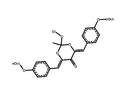 CCCCCCCCOc1ccc(/C=C2\OC(C)(OCC)O/C(=C\c3ccc(OCCCCCCCC)cc3)C2=O)cc1